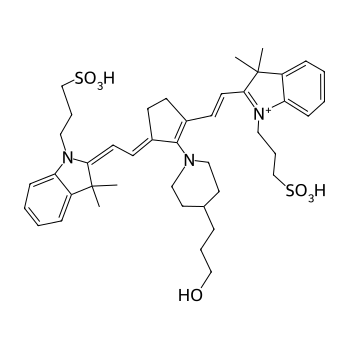 CC1(C)C(/C=C/C2=C(N3CCC(CCCO)CC3)C(=C/C=C3/N(CCCS(=O)(=O)O)c4ccccc4C3(C)C)/CC2)=[N+](CCCS(=O)(=O)O)c2ccccc21